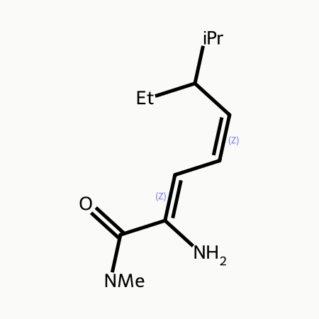 CCC(/C=C\C=C(/N)C(=O)NC)C(C)C